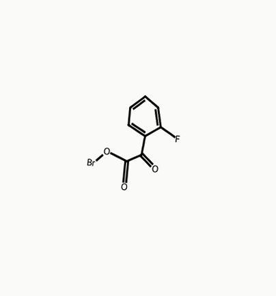 O=C(OBr)C(=O)c1ccccc1F